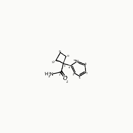 NC(=O)C1(c2ccccn2)CCC1